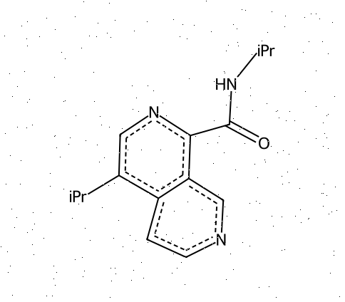 CC(C)NC(=O)c1ncc(C(C)C)c2ccncc12